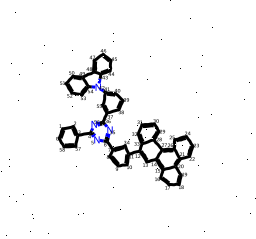 c1ccc(-c2nc(-c3cccc(-c4cc5c6ccccc6c6ccccc6c5c5ccccc45)c3)nc(-c3cccc(-n4c5ccccc5c5ccccc54)c3)n2)cc1